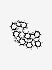 c1ccc(C2(c3ccccc3)c3ccccc3-c3cc(N(c4cccc5oc6ccccc6c45)c4cccc5sc6ccccc6c45)ccc32)cc1